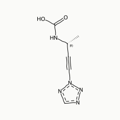 C[C@H](C#Cn1ncnn1)NC(=O)O